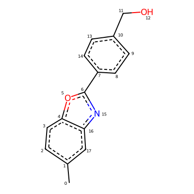 Cc1ccc2oc(-c3ccc(CO)cc3)nc2c1